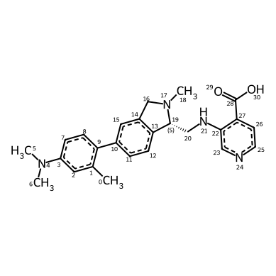 Cc1cc(N(C)C)ccc1-c1ccc2c(c1)CN(C)[C@@H]2CNc1cnccc1C(=O)O